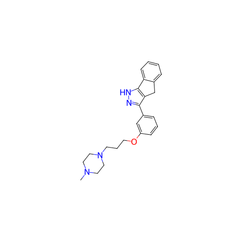 CN1CCN(CCCOc2cccc(-c3n[nH]c4c3Cc3ccccc3-4)c2)CC1